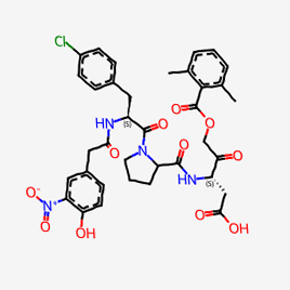 Cc1cccc(C)c1C(=O)OCC(=O)[C@H](CC(=O)O)NC(=O)C1CCCN1C(=O)[C@H](Cc1ccc(Cl)cc1)NC(=O)Cc1ccc(O)c([N+](=O)[O-])c1